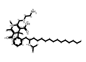 CCCCCCCCCCCCCC(Cc1ccccc1C1(C)C(C(=O)O)=C(C)N(C)C(COCCN)=C1C(=O)O)OC(C)C